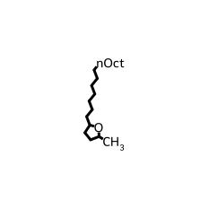 CCCCCCCCCCCCCCCC1CCC(C)O1